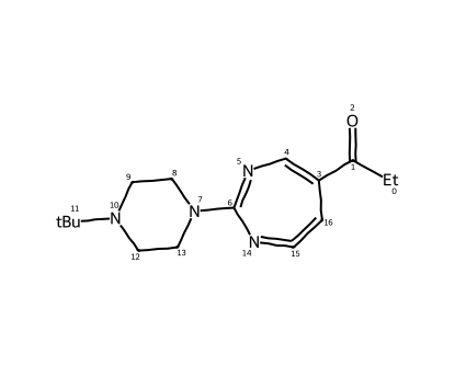 CCC(=O)C1=CN=C(N2CCN(C(C)(C)C)CC2)N=C=C1